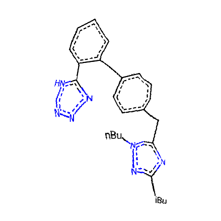 CCCCn1nc(C(C)CC)nc1Cc1ccc(-c2ccccc2-c2nnn[nH]2)cc1